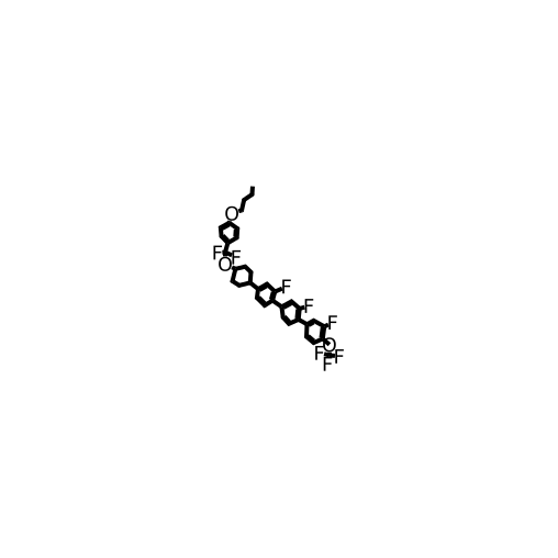 CCCCOc1ccc(C(F)(F)OC2CCC(c3ccc(-c4ccc(-c5ccc(OC(F)(F)F)c(F)c5)c(F)c4)c(F)c3)CC2)cc1